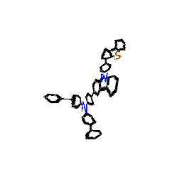 c1ccc(-c2ccc(N(c3ccc(-c4ccccc4)cc3)c3ccc(-c4ccc5c(c4)c4ccccc4n5-c4ccc(-c5cccc6c5sc5ccccc56)cc4)cc3)cc2)cc1